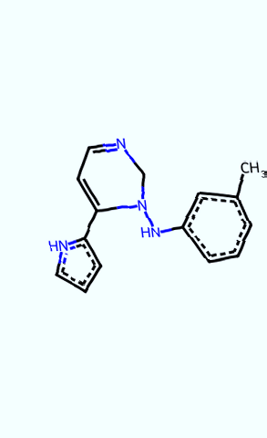 Cc1cccc(NN2CN=CC=C2c2ccc[nH]2)c1